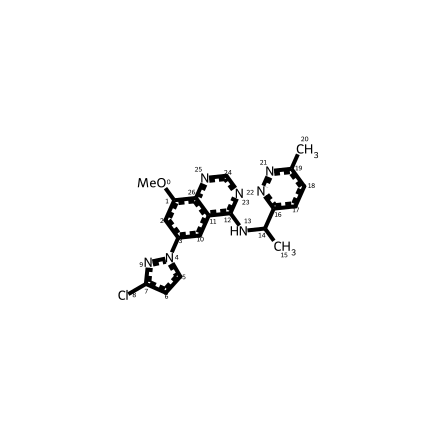 COc1cc(-n2ccc(Cl)n2)cc2c(NC(C)c3ccc(C)nn3)ncnc12